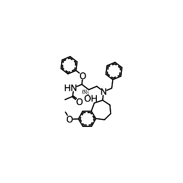 COc1ccc2c(c1)CC(N(Cc1ccccc1)C[C@H](O)C(NC(C)=O)Oc1ccccc1)CCC2